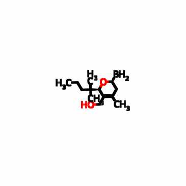 B[C@H]1CC(C)=C(CO)[C@@H](C(C)(C)CCC)O1